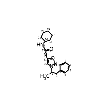 CC(Cc1ccccc1)[n+]1cc([N-]C(=O)NC2CCCCC2)on1